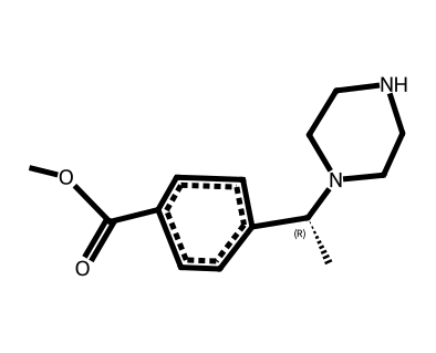 COC(=O)c1ccc([C@@H](C)N2CCNCC2)cc1